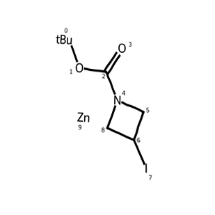 CC(C)(C)OC(=O)N1CC(I)C1.[Zn]